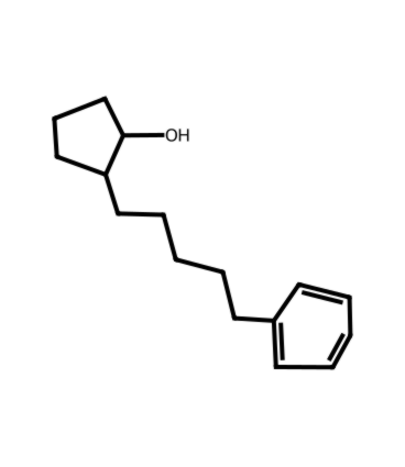 OC1CCCC1CCCCCc1ccccc1